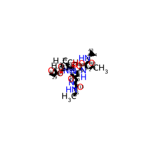 CCC[C@H](NC(=O)[C@@H]1CC2(CC(C(=O)NCC)=NO2)CN1C(=O)[C@@H](NC(=O)O[C@H]1CCOC1)C(C)(C)C)C(O)C(=O)NC1CC1